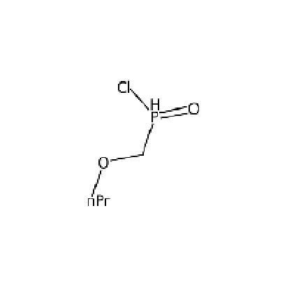 CCCOC[PH](=O)Cl